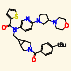 CC(C)(C)c1ccc(C(=O)N2CC3C(C2)C3CN(C(=O)c2cccs2)c2ccc(N3CCC(N4CCOCC4)C3)nc2)cc1